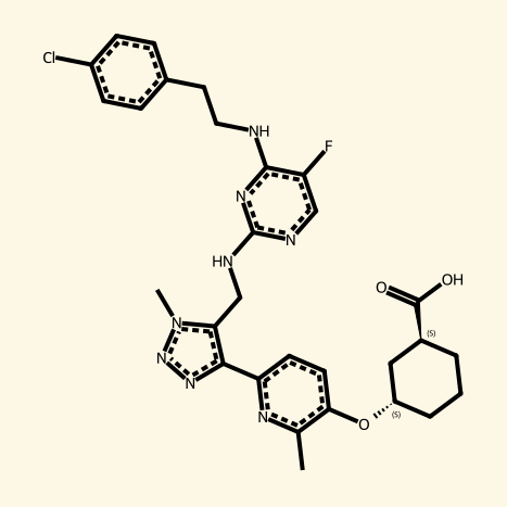 Cc1nc(-c2nnn(C)c2CNc2ncc(F)c(NCCc3ccc(Cl)cc3)n2)ccc1O[C@H]1CCC[C@H](C(=O)O)C1